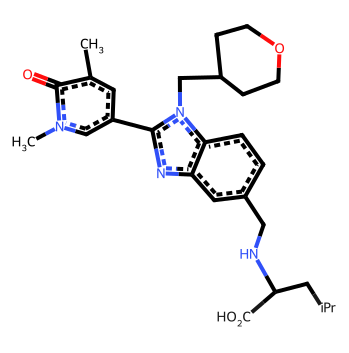 Cc1cc(-c2nc3cc(CNC(CC(C)C)C(=O)O)ccc3n2CC2CCOCC2)cn(C)c1=O